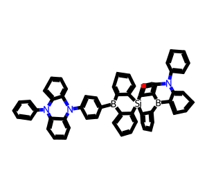 c1ccc(N2c3ccccc3N(c3ccc(B4c5ccccc5[Si]5(c6ccccc64)c4ccccc4B4c6ccccc6N(c6ccccc6)c6cccc5c64)cc3)c3ccccc32)cc1